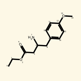 CCOC(=O)CC(N)Cc1ccc(OC)cc1